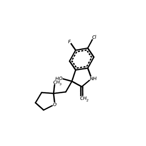 C=C1Nc2cc(Cl)c(F)cc2C1(O)CC1(C)CCCO1